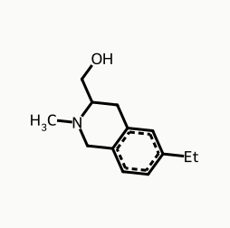 CCc1ccc2c(c1)CC(CO)N(C)C2